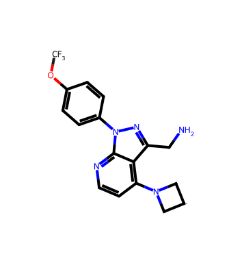 NCc1nn(-c2ccc(OC(F)(F)F)cc2)c2nccc(N3C[CH]C3)c12